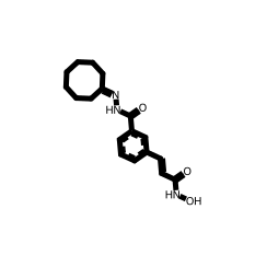 O=C(/C=C/c1cccc(C(=O)NN=C2CCCCCCC2)c1)NO